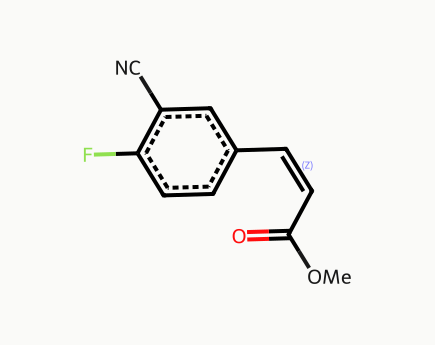 COC(=O)/C=C\c1ccc(F)c(C#N)c1